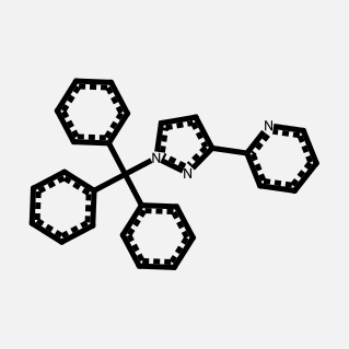 c1ccc(C(c2ccccc2)(c2ccccc2)n2ccc(-c3ccccn3)n2)cc1